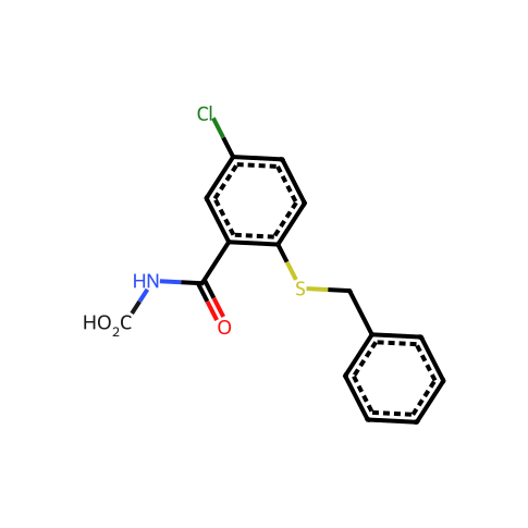 O=C(O)NC(=O)c1cc(Cl)ccc1SCc1ccccc1